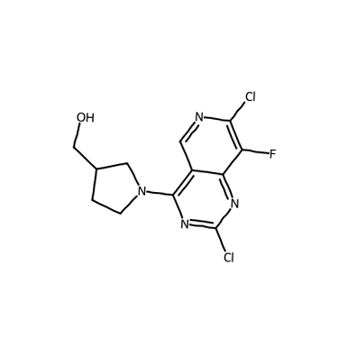 OCC1CCN(c2nc(Cl)nc3c(F)c(Cl)ncc23)C1